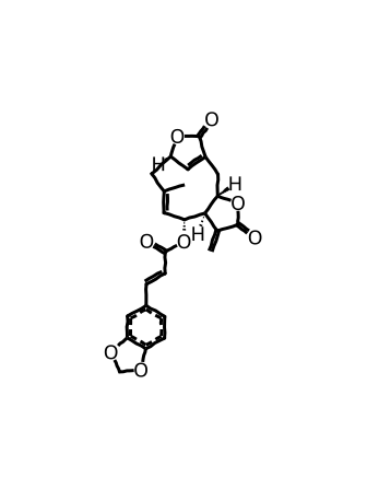 C=C1C(=O)O[C@H]2CC3=C[C@@H](C/C(C)=C/[C@@H](OC(=O)/C=C/c4ccc5c(c4)OCO5)[C@H]12)OC3=O